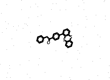 O=C(Cc1ccccc1)c1ccc(-c2cccc3c2Sc2ccccc2S3)cc1